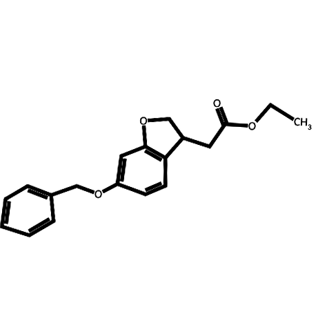 CCOC(=O)CC1COc2cc(OCc3ccccc3)ccc21